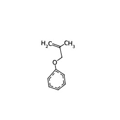 C=C(C)COc1ccccc1